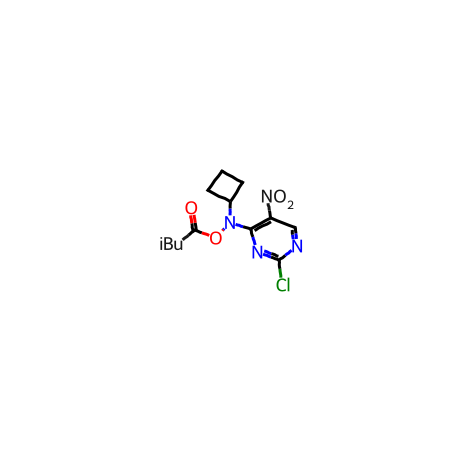 CCC(C)C(=O)ON(c1nc(Cl)ncc1[N+](=O)[O-])C1CCC1